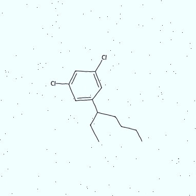 CCCCC(CC)c1cc(Cl)cc(Cl)c1